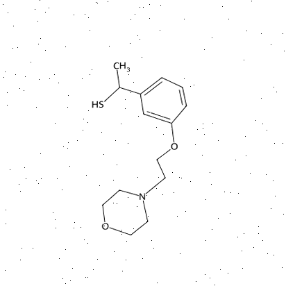 CC(S)c1cccc(OCCN2CCOCC2)c1